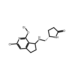 CCOc1nc(Cl)cc2c1C(NC[C@@H]1CCC(=O)N1)CC2